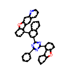 c1ccc(-c2nc(-c3cc(-c4cccc5oc6cc7ncccc7cc6c45)c4ccccc4c3)nc(-c3cccc4oc5ccccc5c34)n2)cc1